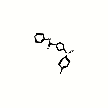 O=C(Nc1ccncc1)N1CCC([S+]([O-])c2ccc(F)cc2)C1